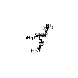 CCCCCCCC(CCCCCCC)N(CCC(C)(C)OCCC(C)(C)N)CCC(C)(C)OCCC(C)(N)CC